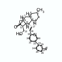 C[C@@H]1CC[C@@H]2[C@@H](C1)C[C@H]1OC(=O)[C@H](CO)[C@H]1[C@H]2/C=C/c1ccc(-c2cccc(F)c2)cn1